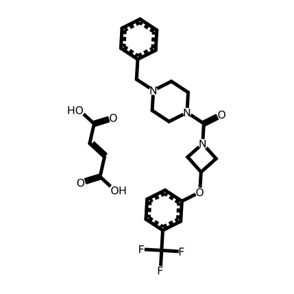 O=C(N1CCN(Cc2ccccc2)CC1)N1CC(Oc2cccc(C(F)(F)F)c2)C1.O=C(O)C=CC(=O)O